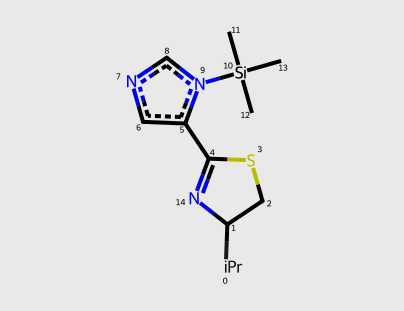 CC(C)C1CSC(c2cncn2[Si](C)(C)C)=N1